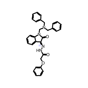 O=C(COc1ccccc1)N/N=C1/C(=O)N(CN(Cc2ccccc2)Cc2ccccc2)c2ccccc21